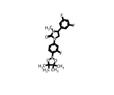 CN1C(=O)N(c2ccc(B3OC(C)(C)C(C)(C)O3)c(F)c2)CC1c1cc(F)cc(F)c1